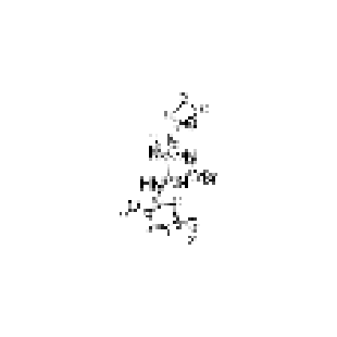 COc1ccc(OC)c(Nc2nc(Br)nc3c2ncn3C2CCCO2)c1